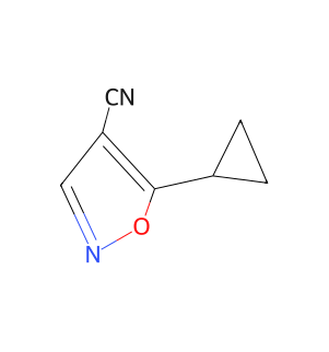 N#Cc1cnoc1C1CC1